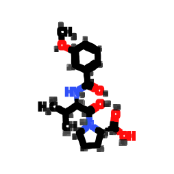 COc1cccc(C(=O)N[C@H](C(=O)N2CCC[C@H]2C(=O)O)C(C)C)c1